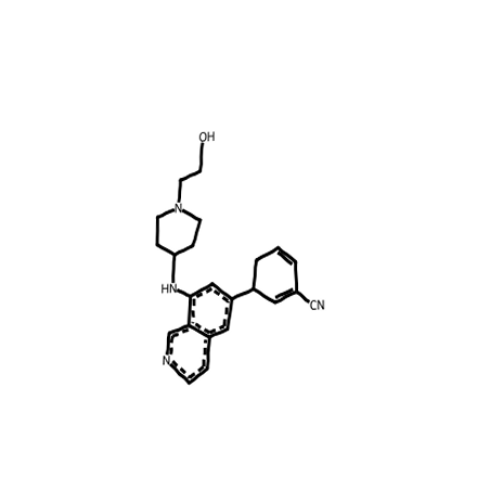 N#CC1=CC(c2cc(NC3CCN(CCO)CC3)c3cnccc3c2)CC=C1